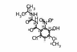 COc1cc(Cl)c(C(=O)NC(=O)NC(C)C)c([N+](=O)[O-])c1O